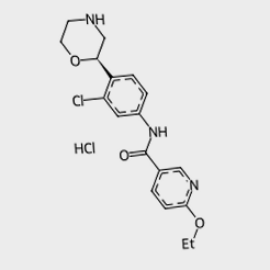 CCOc1ccc(C(=O)Nc2ccc([C@@H]3CNCCO3)c(Cl)c2)cn1.Cl